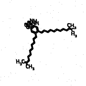 CC(C)CCCCCCCCCc1ccccc1CCCCCCCCCC(C)C.N=C=O.N=C=O